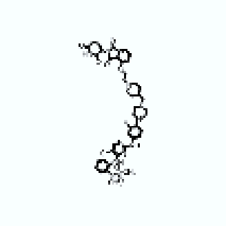 CN(c1ccccc1Nc1nc(Nc2ccc(N3CCN(CC4CCN(CCOc5cccc6c5C(=O)N(C5CCC(=O)NC5=O)C6=O)CC4)CC3)c(F)c2)ncc1Cl)S(C)(=O)=O